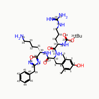 Cc1cc(O)cc(C)c1C[C@H](NC(=O)[C@@H](CCCNC(=N)N)NC(=O)OC(C)(C)C)C(=O)N[C@@H](CCCCN)c1nc(Cc2ccccc2)no1